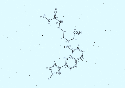 Cc1nc(-c2ccc3ccnc(NC(CCCNC(=O)OC(C)(C)C)CC(=O)O)c3c2)no1